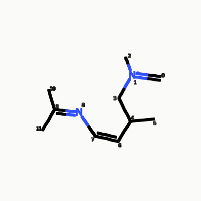 C=[N+](C)CC(C)/C=C\N=C(C)C